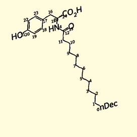 CCCCCCCCCCCCCCCCCCCCCC(=O)N[C@@H](Cc1ccc(O)cc1)C(=O)O